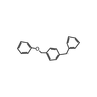 [CH](c1ccccc1)c1ccc(COc2ccccc2)cc1